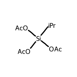 CC(=O)O[Si](OC(C)=O)(OC(C)=O)C(C)C